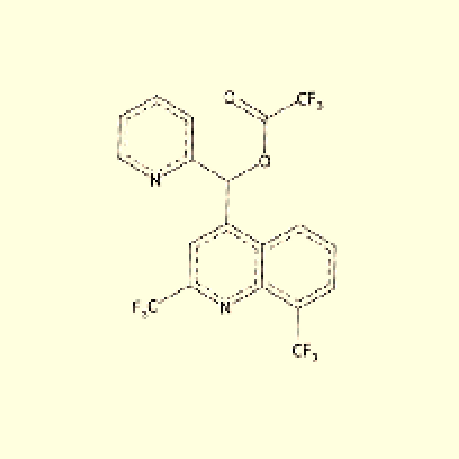 O=C(OC(c1ccccn1)c1cc(C(F)(F)F)nc2c(C(F)(F)F)cccc12)C(F)(F)F